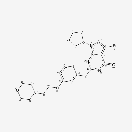 CCc1[nH]n(C2CCCC2)c2nc(Cc3cccc(OCCN4CCOCC4)c3)nc(=O)c1-2